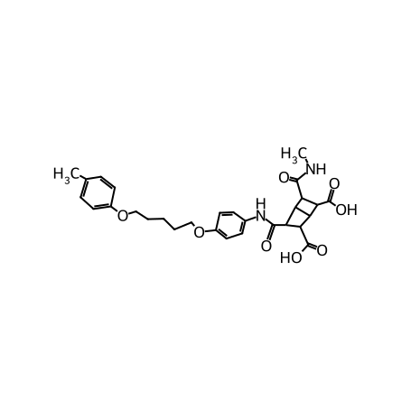 CNC(=O)C1C(C(=O)O)C2C(C(=O)O)C(C(=O)Nc3ccc(OCCCCCOc4ccc(C)cc4)cc3)C12